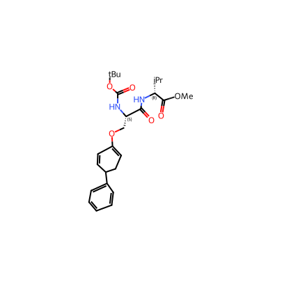 COC(=O)[C@H](NC(=O)[C@H](COC1=CCC(c2ccccc2)C=C1)NC(=O)OC(C)(C)C)C(C)C